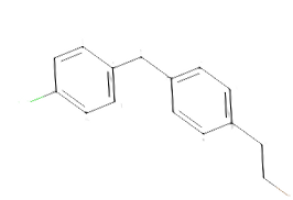 Clc1ccc(Cc2ccc(CCBr)cc2)cc1